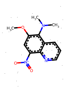 COc1cc([N+](=O)[O-])c2ncccc2c1N(C)C